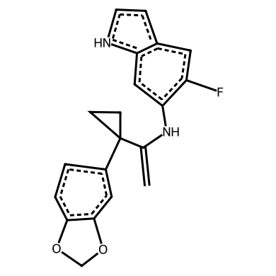 C=C(Nc1cc2[nH]ccc2cc1F)C1(c2ccc3c(c2)OCO3)CC1